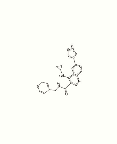 O=C(NCC1=CCSC=C1)c1cnc2ccc(-c3cn[nH]c3)cc2c1NC1CC1